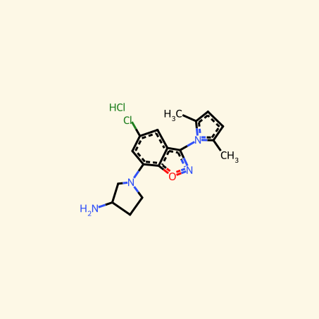 Cc1ccc(C)n1-c1noc2c(N3CCC(N)C3)cc(Cl)cc12.Cl